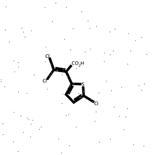 O=C(O)C(=C(Cl)Cl)c1ccc(Cl)s1